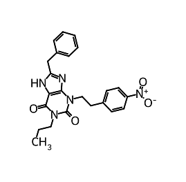 CCCn1c(=O)c2[nH]c(Cc3ccccc3)nc2n(CCc2ccc([N+](=O)[O-])cc2)c1=O